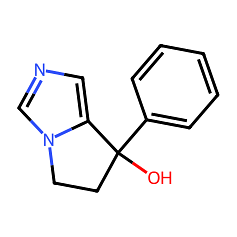 OC1(c2ccccc2)CCn2cncc21